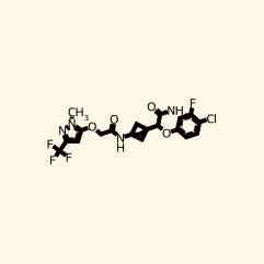 Cn1nc(C(F)(F)F)cc1OCC(=O)NC12CC(C(Oc3ccc(Cl)c(F)c3)C(N)=O)(C1)C2